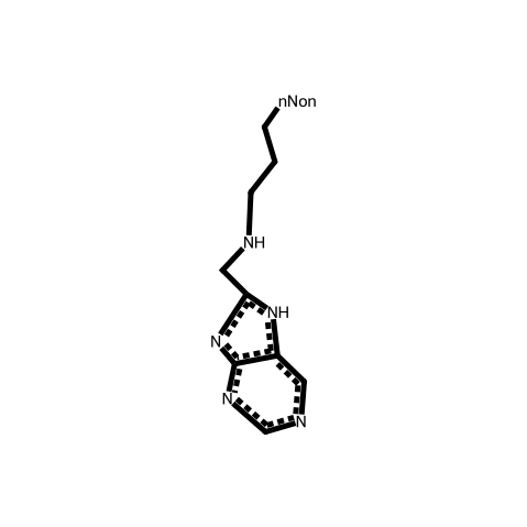 CCCCCCCCCCCCNCc1nc2ncncc2[nH]1